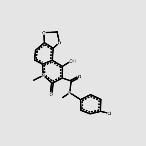 CN(C(=O)c1c(O)c2c3c(ccc2n(C)c1=O)OCO3)c1ccc(Cl)cc1